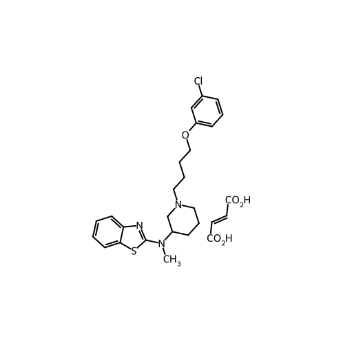 CN(c1nc2ccccc2s1)C1CCCN(CCCCOc2cccc(Cl)c2)C1.O=C(O)C=CC(=O)O